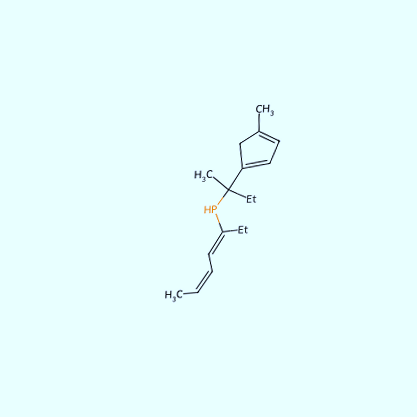 C/C=C\C=C(/CC)PC(C)(CC)C1=CC=C(C)C1